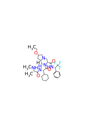 CCO[C@@H]1C[C@@H]2CN(C(=O)[C@@H](NC(=O)[C@H](C)NC)C3CCCCC3)[C@H](C(=O)N[C@@H](c3ccccc3)C(F)(F)F)CN2C1